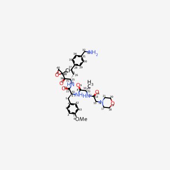 COc1ccc(C[C@H](NC(=O)[C@H](C)NC(=O)CN2CCOCC2)C(=O)N[C@@H](CCc2ccc(CN)cc2)C(=O)[C@@]2(C)CO2)cc1